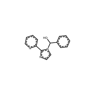 OC(c1ccccc1)n1ccnc1-c1ccccn1